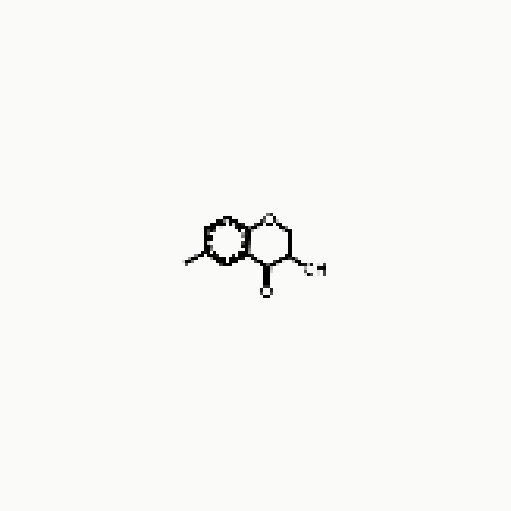 Cc1ccc2c(c1)C(=O)C(O)CO2